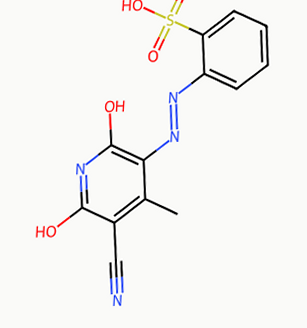 Cc1c(C#N)c(O)nc(O)c1N=Nc1ccccc1S(=O)(=O)O